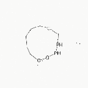 C1CCCOOPPCCC1